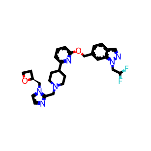 FC(F)Cn1ncc2ccc(COc3cccc(C4CCN(Cc5nccn5C[C@@H]5CCO5)CC4)n3)cc21